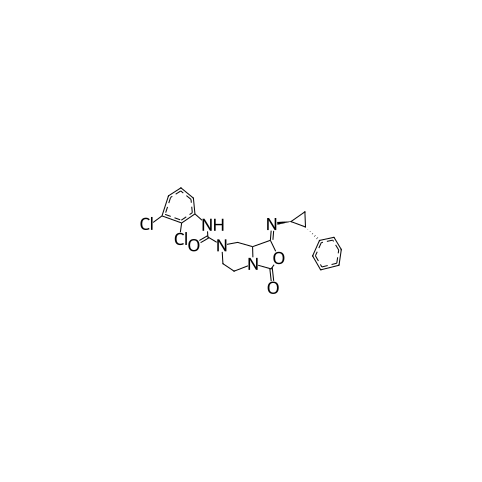 O=C(Nc1cccc(Cl)c1Cl)N1CCN2C(=O)OC(=N[C@H]3C[C@@H]3c3ccccc3)C2C1